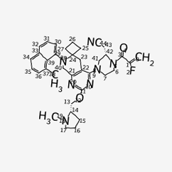 C=C(F)C(=O)N1CCN(c2nc(OC[C@@H]3CCCN3C)nc3c2CC2(CCC2)N(c2cccc4cccc(C)c24)C3)C[C@@H]1CC#N